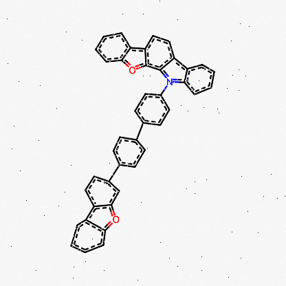 c1ccc2c(c1)oc1cc(-c3ccc(-c4ccc(-n5c6ccccc6c6ccc7c8ccccc8oc7c65)cc4)cc3)ccc12